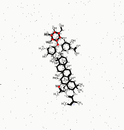 C/C=C(/C)C(=O)O[C@H]1[C@H](OC(C)=O)[C@]2(CO)[C@H](O)[C@H](O)[C@]3(C)C(=CC[C@@H]4[C@@]5(C)CC[C@H](O[C@@H]6O[C@H](C(=O)O)[C@@H](O)[C@H](O[C@@H]7OC[C@H](O)[C@H](O)[C@H]7O[C@@H]7O[C@@H](C)[C@H](O)[C@@H](O)[C@H]7O)[C@H]6O[C@@H]6O[C@H](CO)[C@H](O)[C@H](O)[C@H]6O)C(C)(C)[C@@H]5CC[C@]43C)[C@@H]2CC1(C)C